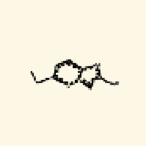 CCc1ccc2nc(F)cn2n1